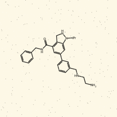 CC(C)N1NCc2c(C(=O)NCc3ccccc3)cc(-c3cccc(CNCCN)c3)cc21